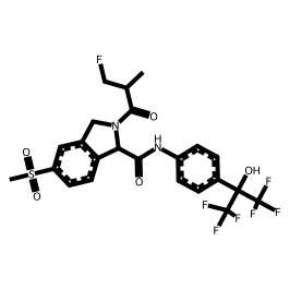 CC(CF)C(=O)N1Cc2cc(S(C)(=O)=O)ccc2C1C(=O)Nc1ccc(C(O)(C(F)(F)F)C(F)(F)F)cc1